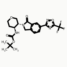 CC(C)(C)OC(=O)N[C@H]1CCOC[C@@H]1N1Cc2ccc(-c3noc(C(F)(F)F)n3)cc2C1=O